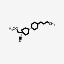 CCCCC1CCC([C@H]2CC[C@](C#N)(COC)CC2)CC1